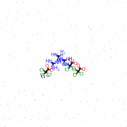 N=C(N)N.N=C(N)N.N=C(N)N.O=C([O-])C(Cl)(Cl)Cl.O=C([O-])C(Cl)(Cl)Cl.O=C([O-])C(Cl)(Cl)Cl.[Cr+3]